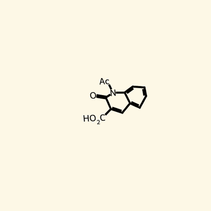 CC(=O)n1c(=O)c(C(=O)O)cc2ccccc21